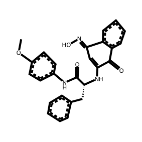 COc1ccc(NC(=O)[C@@H](Cc2ccccc2)NC2=CC(=NO)c3ccccc3C2=O)cc1